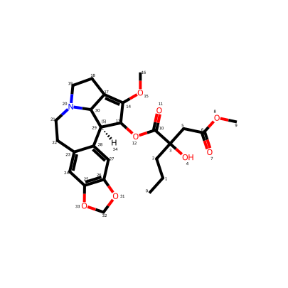 CCCC(O)(CC(=O)OC)C(=O)OC1C(OC)=C2CCN3CCc4cc5c(cc4[C@H]1C23)OCO5